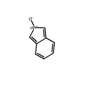 [O-][NH+]1C=c2ccccc2=C1